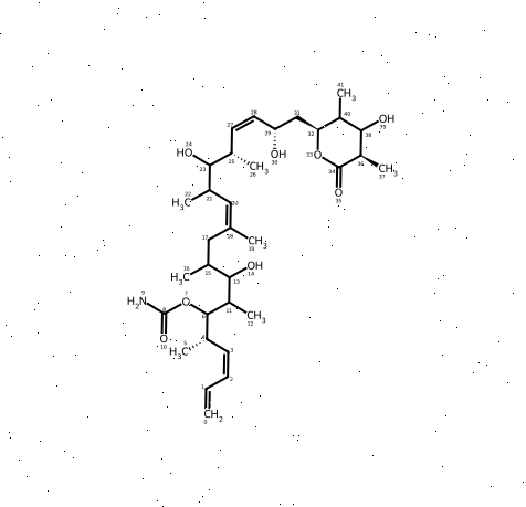 C=C/C=C\[C@H](C)C(OC(N)=O)C(C)C(O)C(C)C/C(C)=C\C(C)C(O)[C@@H](C)/C=C\[C@@H](O)C[C@@H]1OC(=O)[C@H](C)C(O)C1C